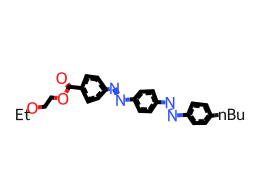 CCCCc1ccc(N=Nc2ccc(N=Nc3ccc(C(=O)OCCOCC)cc3)cc2)cc1